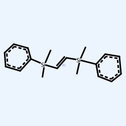 C[Si](C)(/C=C/[Si](C)(C)c1ccccc1)c1ccccc1